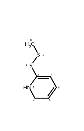 CSSC1=CC=CCN1